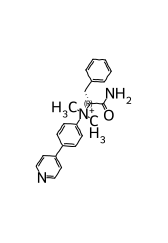 C[N+](C)(c1ccc(-c2ccncc2)cc1)[C@H](Cc1ccccc1)C(N)=O